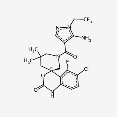 CC1(C)CN(C(=O)c2cnn(CC(F)(F)F)c2N)C[C@]2(C1)OC(=O)Nc1ccc(Cl)c(F)c12